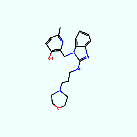 Cc1ccc(O)c(Cn2c(NCCCN3CCOCC3)nc3ccccc32)n1